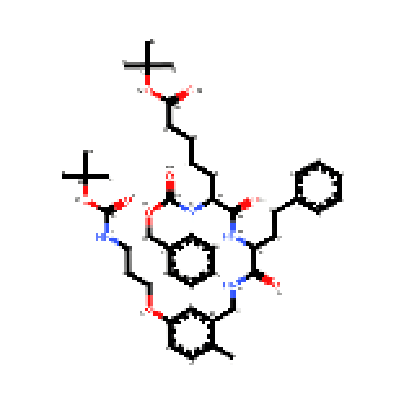 Cc1ccc(OCCCNC(=O)OC(C)(C)C)cc1CNC(=O)C(CCc1ccccc1)NC(=O)C(CCCCC(=O)OC(C)(C)C)NC(=O)OCc1ccccc1